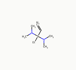 C=C[Si](CC)(N(C)C)N(C)C